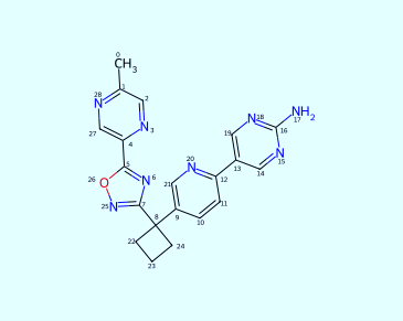 Cc1cnc(-c2nc(C3(c4ccc(-c5cnc(N)nc5)nc4)CCC3)no2)cn1